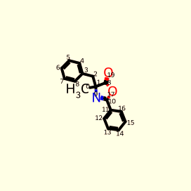 CC1(Cc2ccccc2)N=C(c2ccccc2)OC1=O